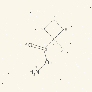 CC1(C(=O)ON)CCC1